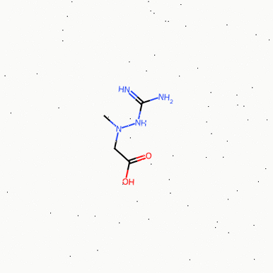 CN(CC(=O)O)NC(=N)N